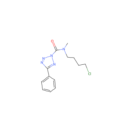 CN(CCCCCl)C(=O)n1nnc(-c2ccccc2)n1